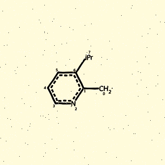 [CH2]c1ncccc1C(C)C